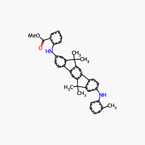 COC(=O)c1ccccc1Nc1ccc2c(c1)C(C)(C)c1cc3c(cc1-2)C(C)(C)c1cc(Nc2ccccc2C)ccc1-3